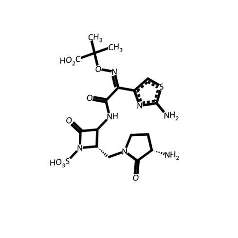 CC(C)(O/N=C(\C(=O)NC1C(=O)N(S(=O)(=O)O)[C@H]1CN1CC[C@H](N)C1=O)c1csc(N)n1)C(=O)O